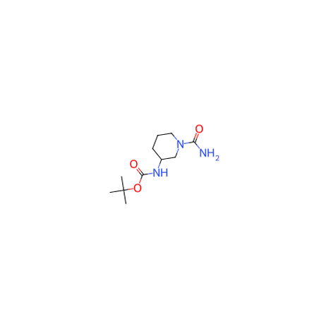 CC(C)(C)OC(=O)NC1CCCN(C(N)=O)C1